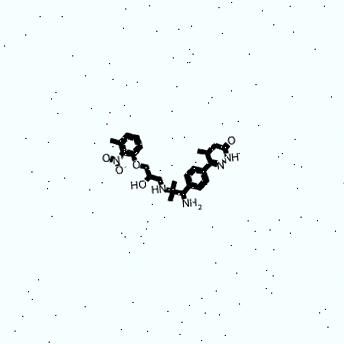 Cc1cccc(OCC(O)CNC(C)(C)C(N)c2ccc(C3=NNC(=O)CC3C)cc2)c1[N+](=O)[O-]